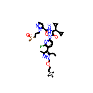 CCc1c(-c2ccc(NC(=O)[C@@H](NC(=O)c3ccnn3CCC[S+](C)[O-])C(C3CC3)C3CC3)nc2F)c(C)nn1COCC[Si](C)(C)C